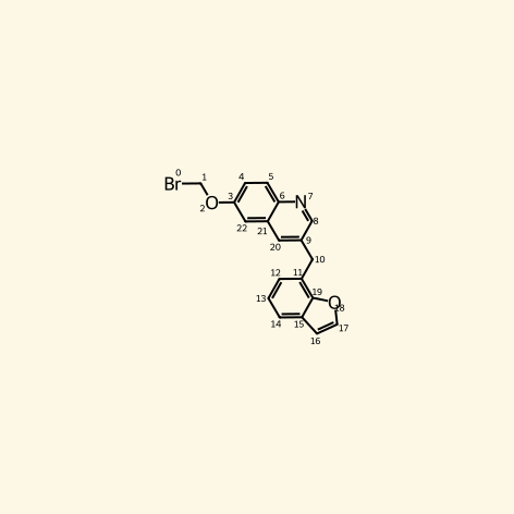 BrCOc1ccc2ncc(Cc3cccc4ccoc34)cc2c1